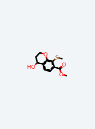 COC(=O)c1ccc2c(c1SC)OCCC2O